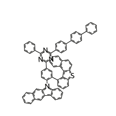 c1ccc(-c2ccc(-c3ccc(-c4nc(-c5ccccc5)nc(-c5ccc(-n6c7ccccc7c7cc8ccccc8cc76)c(-c6cccc7sc8ccc9ccccc9c8c67)c5)n4)cc3)cc2)cc1